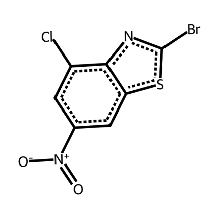 O=[N+]([O-])c1cc(Cl)c2nc(Br)sc2c1